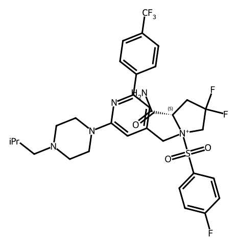 CC(C)CN1CCN(c2cc(C[N+]3(S(=O)(=O)c4ccc(F)cc4)CC(F)(F)C[C@H]3C(N)=O)cc(-c3ccc(C(F)(F)F)cc3)n2)CC1